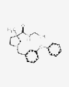 CCNC(=O)[C@@]1(C)CCN(Cc2cccc(Oc3ccccc3)c2)C1